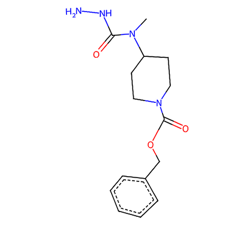 CN(C(=O)NN)C1CCN(C(=O)OCc2ccccc2)CC1